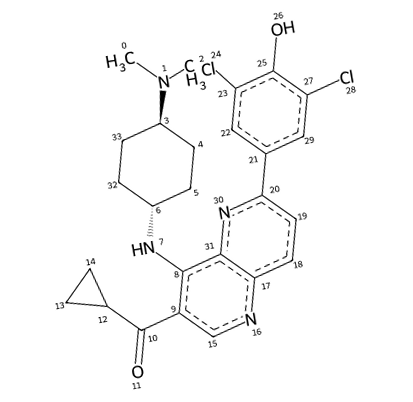 CN(C)[C@H]1CC[C@H](Nc2c(C(=O)C3CC3)cnc3ccc(-c4cc(Cl)c(O)c(Cl)c4)nc23)CC1